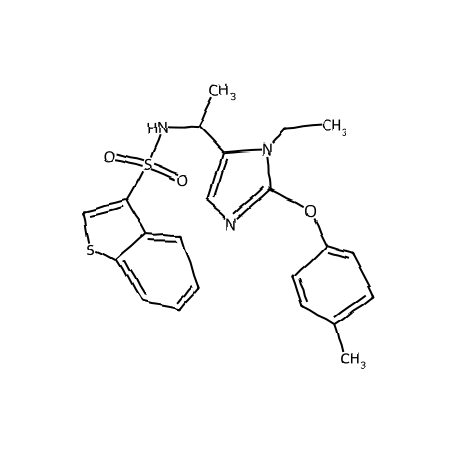 CCn1c(C(C)NS(=O)(=O)c2csc3ccccc23)cnc1Oc1ccc(C)cc1